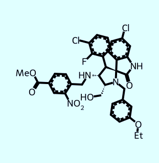 CCOc1cccc(CN2[C@H](CO)[C@H](NCc3ccc(C(=O)OC)cc3[N+](=O)[O-])C(c3cccc(Cl)c3F)[C@@]23C(=O)Nc2cc(Cl)ccc23)c1